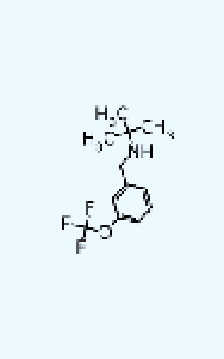 CC(C)(C)NCc1cccc(OC(F)(F)F)c1